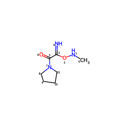 CNOC(=N)C(=O)N1CCCC1